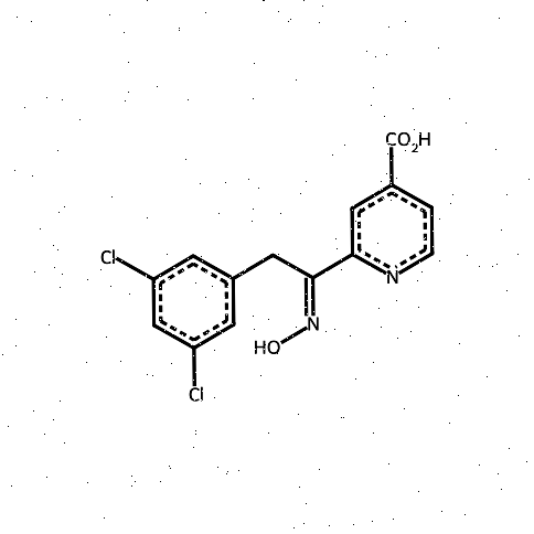 O=C(O)c1ccnc(/C(Cc2cc(Cl)cc(Cl)c2)=N/O)c1